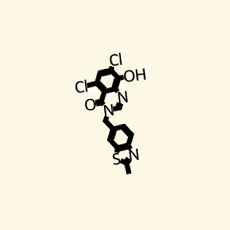 Cc1nc2ccc(Cn3cnc4c(O)c(Cl)cc(Cl)c4c3=O)cc2s1